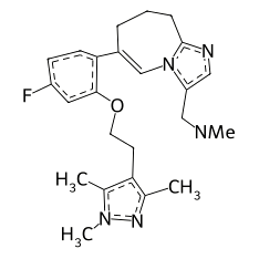 CNCc1cnc2n1C=C(c1ccc(F)cc1OCCc1c(C)nn(C)c1C)CCC2